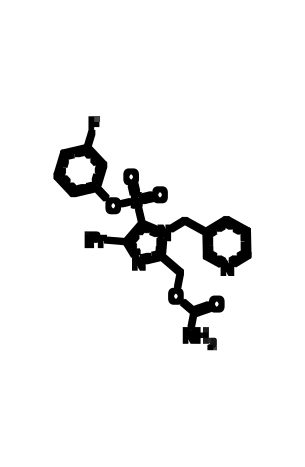 CC(C)c1nc(COC(N)=O)n(Cc2cccnc2)c1S(=O)(=O)Oc1cccc(F)c1